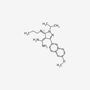 CCC/N=C1\C(=C(N)N)C(c2ccc3cc(OC)ccc3c2)=NN1C(C)C